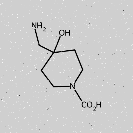 NCC1(O)CCN(C(=O)O)CC1